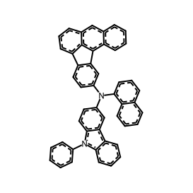 c1ccc(-n2c3ccccc3c3cc(N(c4ccc5c(c4)-c4c6ccccc6cc6cccc-5c46)c4cccc5ccccc45)ccc32)cc1